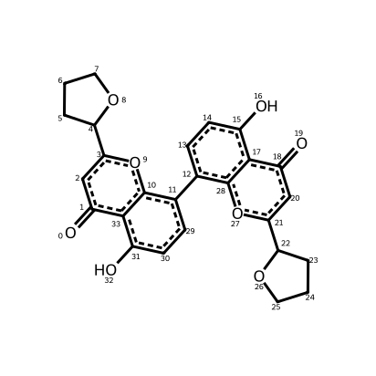 O=c1cc(C2CCCO2)oc2c(-c3ccc(O)c4c(=O)cc(C5CCCO5)oc34)ccc(O)c12